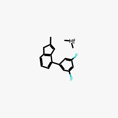 CC1=Cc2c(cccc2-c2cc(F)cc(F)c2)C1.[CH3][Hf][CH3]